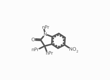 CCCN1C(=O)C(CCC)(CCC)c2cc([N+](=O)[O-])ccc21